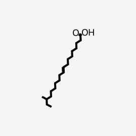 CCC(C)CCCCCCC=CCCCCCCCC(=O)O